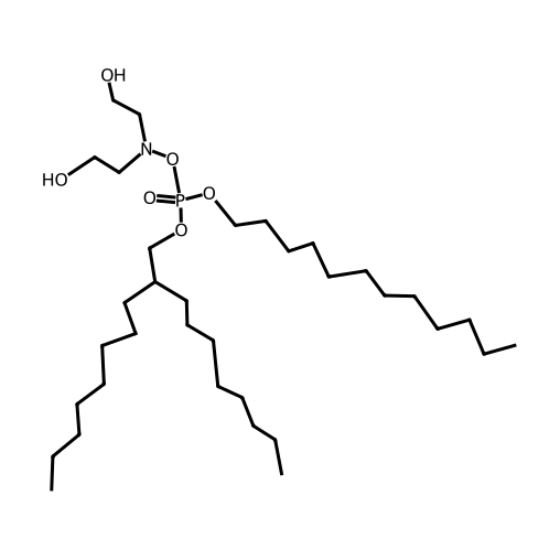 CCCCCCCCCCCCOP(=O)(OCC(CCCCCCCC)CCCCCCCC)ON(CCO)CCO